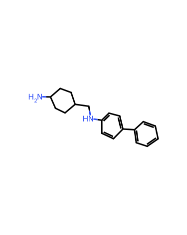 NC1CCC(CNc2ccc(-c3ccccc3)cc2)CC1